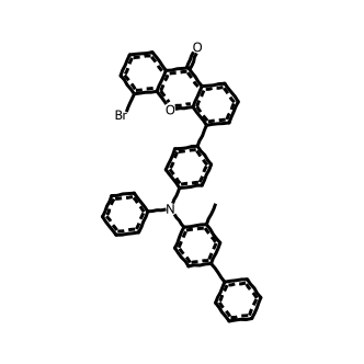 Cc1cc(-c2ccccc2)ccc1N(c1ccccc1)c1ccc(-c2cccc3c(=O)c4cccc(Br)c4oc23)cc1